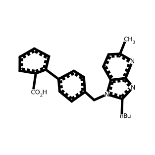 CCCCc1nc2nc(C)ccc2n1Cc1ccc(-c2ccccc2C(=O)O)cc1